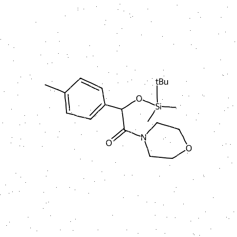 Cc1ccc(C(O[Si](C)(C)C(C)(C)C)C(=O)N2CCOCC2)cc1